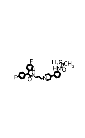 CN(C)C(=O)Nc1cccc(C2CCN(CCCNC(=O)C(c3ccc(F)cc3)c3ccc(F)cc3)CC2)c1